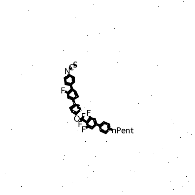 CCCCCc1ccc(-c2cc(F)c(C(F)(F)Oc3ccc(-c4ccc(-c5ccc(N=C=S)cc5)c(F)c4)cc3)c(F)c2)cc1